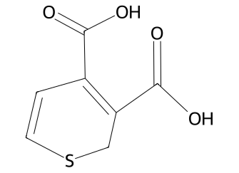 O=C(O)C1=C(C(=O)O)CSC=C1